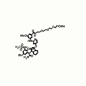 COCCOCCOCCOCCNC(=O)c1cc(Nc2cc(Oc3ccc(N(C(N)=O)c4cc(C(C)(C)C)cc(NS(C)(=O)=O)c4OC)c4ccccc34)ccn2)cc(OC)c1